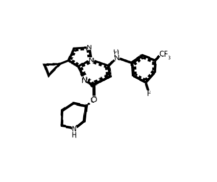 Fc1cc(Nc2cc(O[C@H]3CCCNC3)nc3c(C4CC4)cnn23)cc(C(F)(F)F)c1